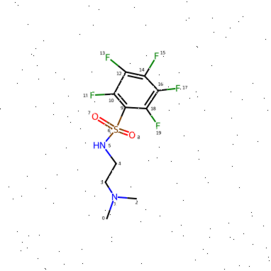 CN(C)CCNS(=O)(=O)c1c(F)c(F)c(F)c(F)c1F